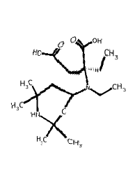 CCN(C1CC(C)(C)NC(C)(C)C1)[C@@](CC)(CC(=O)O)C(=O)O